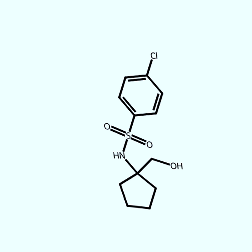 O=S(=O)(NC1(CO)CCCC1)c1ccc(Cl)cc1